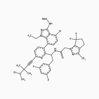 CSNc1nn(CC(F)(F)F)c2c(-c3ccc(C#CC(C)(C)[S+](C)[O-])nc3C(Cc3cc(F)cc(F)c3)NC(=O)Cn3nc(C(F)(F)F)c4c3C(F)(F)CC4)ccc(Cl)c12